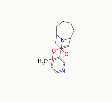 CCOC(=O)N1C2C=C(c3cccnc3)CC1CCCC2